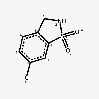 O=S1(=O)NCc2ccc(Cl)cc21